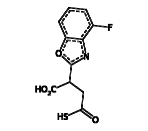 O=C(S)CC(C(=O)O)c1nc2c(F)cccc2o1